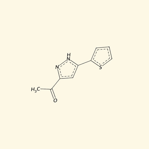 CC(=O)c1cc(-c2cccs2)[nH]n1